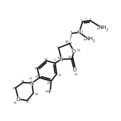 N/C=C\N(N)C[C@H]1CN(c2ccc(N3CCOCC3)c(F)c2)C(=O)O1